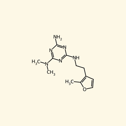 Cc1occc1CCNc1nc(N)nc(N(C)C)n1